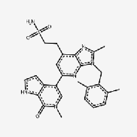 Cc1cccc(C)c1Cn1c(C)nc2c(CCS(N)(=O)=O)cc(-c3cn(C)c(=O)c4[nH]ccc34)nc21